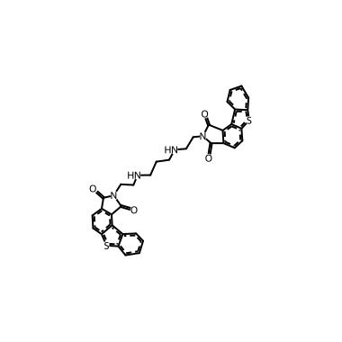 O=C1c2ccc3sc4ccccc4c3c2C(=O)N1CCNCCCNCCN1C(=O)c2ccc3sc4ccccc4c3c2C1=O